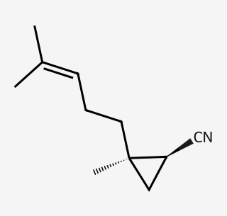 CC(C)=CCC[C@]1(C)C[C@@H]1C#N